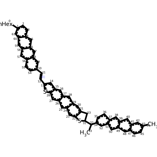 CCCCCCc1ccc2cc3cc4cc(/C=C/c5cc6cc7cc8cc9c(cc8cc7cc6s5)SC(C(C)c5ccc6cc7cc8cc(C)ccc8cc7cc6c5)C9)ccc4cc3cc2c1